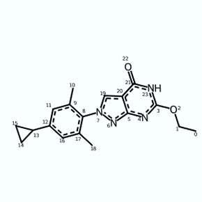 CCOc1nc2nn(-c3c(C)cc(C4CC4)cc3C)cc2c(=O)[nH]1